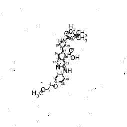 COCCOc1ccc(Nc2cc3c(cn2)cc(-c2cnn(C(=O)OC(C)(C)C)c2)n3C(=O)O)cc1